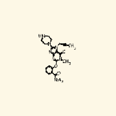 CC#CCn1c(N2CCNCC2)nc2nc(Oc3ccccc3C(N)=O)n(C)c(=O)c21